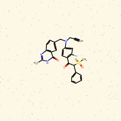 C#CCN(Cc1ccc2nc(C)[nH]c(=O)c2c1)c1ccc(C(=O)C(c2ccccc2)S(C)(=O)=O)c(F)c1